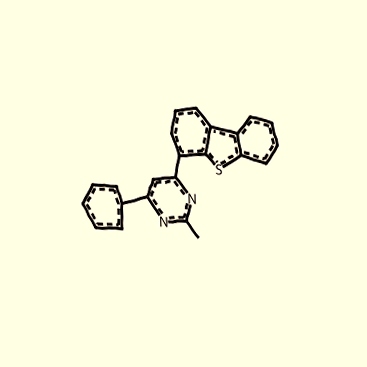 Cc1nc(-c2ccccc2)cc(-c2cccc3c2sc2ccccc23)n1